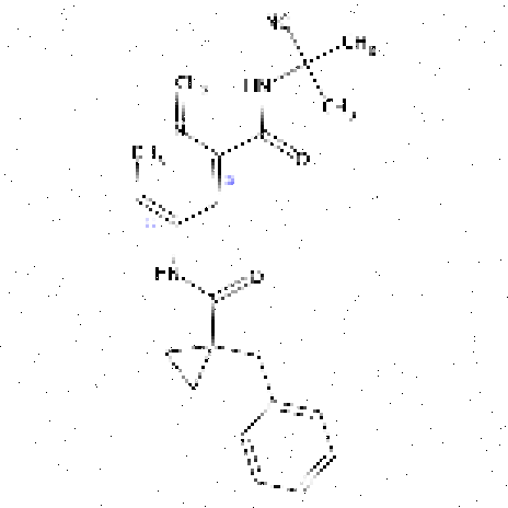 C=N/C(=C\C(=C/C)NC(=O)C1(Cc2ccccc2)CC1)C(=O)NC(C)(C)C#N